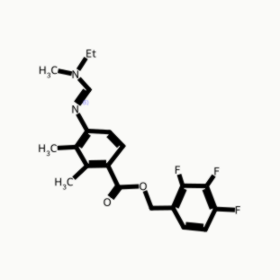 CCN(C)/C=N/c1ccc(C(=O)OCc2ccc(F)c(F)c2F)c(C)c1C